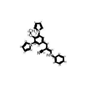 COc1c(-n2cccc2)cc(CC(C#N)=CNc2ccccc2)cc1-n1cccc1